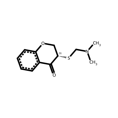 CN(C)CS[C@H]1COc2ccccc2C1=O